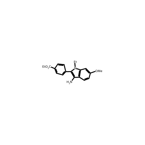 CCOC(=O)c1ccc(-c2c(N)c3ccc(OC)cc3n2CC)cc1